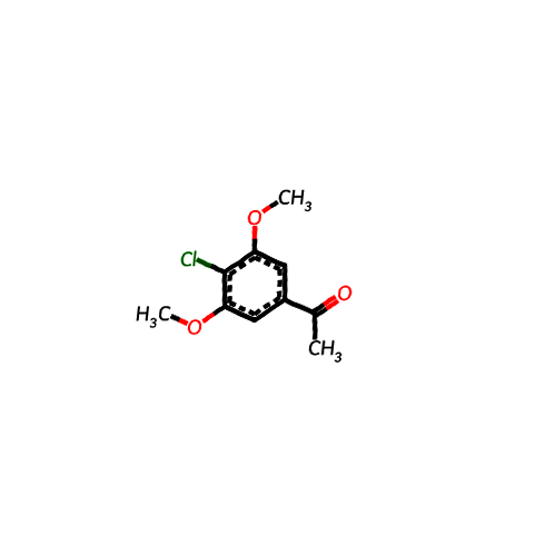 COc1cc(C(C)=O)cc(OC)c1Cl